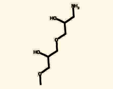 COCC(O)COCC(O)CN